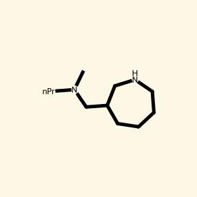 CCCN(C)CC1CCCCNC1